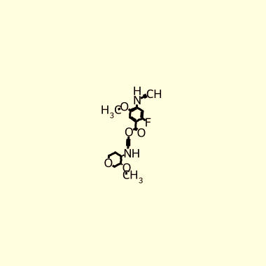 C#CNc1cc(F)c(C(=O)OC#CN[C@@H]2CCOC[C@@H]2OC)cc1OC